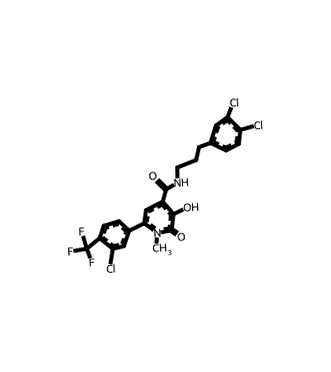 Cn1c(-c2ccc(C(F)(F)F)c(Cl)c2)cc(C(=O)NCCCc2ccc(Cl)c(Cl)c2)c(O)c1=O